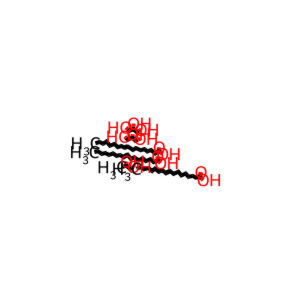 CC(O)CO.CCCCCCCCC=CCCCCCCCC(=O)O.CCCCCCCCC=CCCCCCCCC(=O)O.CCCCCCCCC=CCCCCCCCC(=O)O.OCC(O)CO.OCC(O)CO